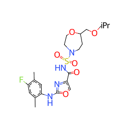 Cc1cc(Nc2nc(C(=O)NS(=O)(=O)N3CCOC(COC(C)C)CC3)co2)c(C)cc1F